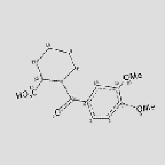 COc1ccc(C(=O)C2CCCCC2C(=O)O)cc1OC